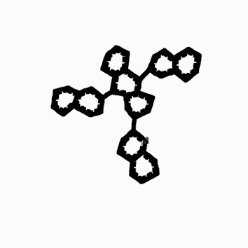 c1ccc2cc(-c3c4ccccc4c(-c4ccc5ccccc5c4)c4cc(-c5ccc6ccccc6n5)ccc34)ccc2c1